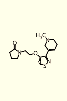 CN1CCC=C(c2nsnc2OCCN2CCCC2=O)C1